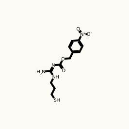 NC(=NC(=O)OCc1ccc([N+](=O)[O-])cc1)NCCCS